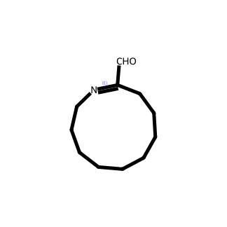 O=C/C1=N/CCCCCCCCC1